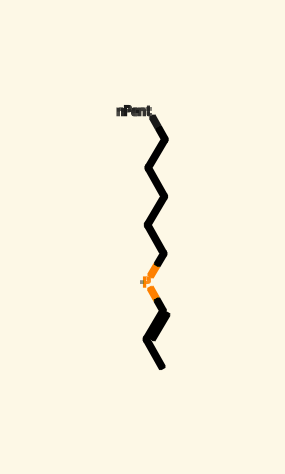 CC=C[P]CCCCCCCCCC